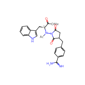 COC(=O)[C@H](Cc1c[nH]c2ccccc12)N(C(C)=O)N1C(=O)CC(Cc2ccc(C(=N)N)cc2)C1=O